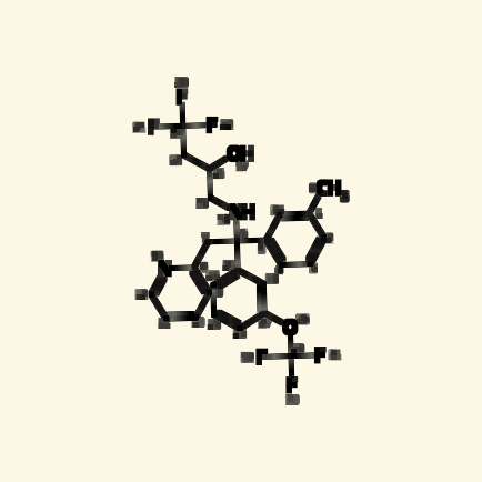 Cc1cccc(C(Cc2ccccn2)(NCC(O)CC(F)(F)F)c2cccc(OC(F)(F)F)c2)c1